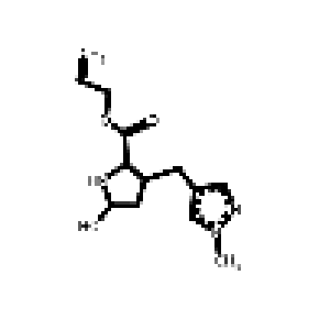 C=CCOC(=O)C1NC(O)CC1Cc1cnn(C)c1